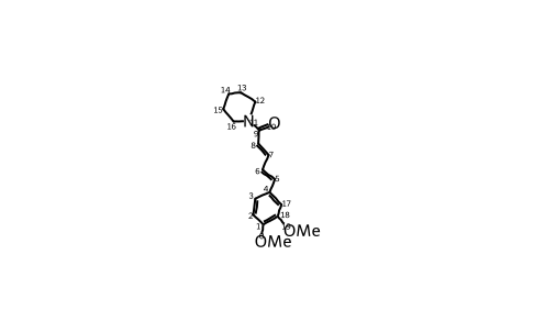 COc1ccc(/C=C/C=C/C(=O)N2CCCCC2)cc1OC